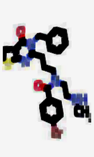 CNCCN(CCCc1nc2sccc2c(=O)n1Cc1ccccc1)C(=O)c1ccc(Br)cc1